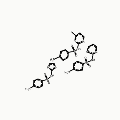 Cc1ccnc(NS(=O)(=O)c2ccc(N)cc2)n1.Nc1ccc(S(=O)(=O)Nc2ncccn2)cc1.Nc1ccc(S(=O)(=O)Nc2nccs2)cc1